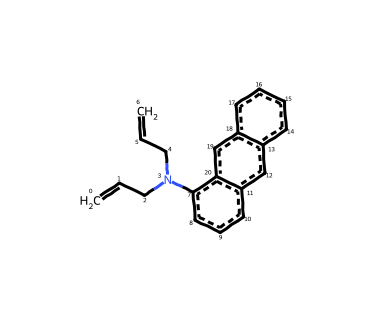 C=CCN(CC=C)c1cccc2cc3ccccc3cc12